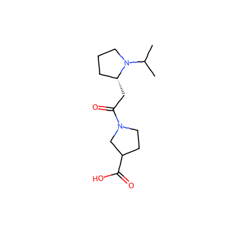 CC(C)N1CCC[C@H]1CC(=O)N1CCC(C(=O)O)C1